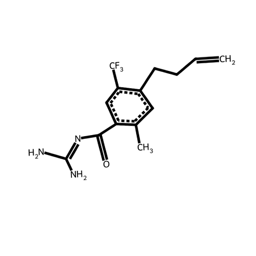 C=CCCc1cc(C)c(C(=O)N=C(N)N)cc1C(F)(F)F